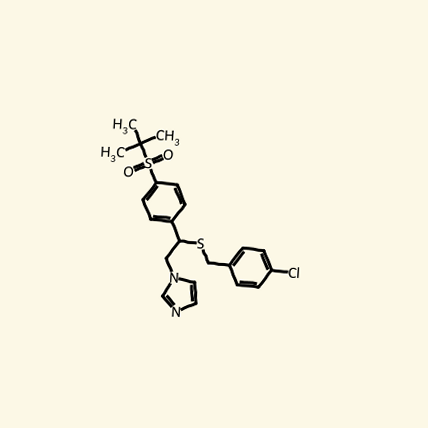 CC(C)(C)S(=O)(=O)c1ccc(C(Cn2ccnc2)SCc2ccc(Cl)cc2)cc1